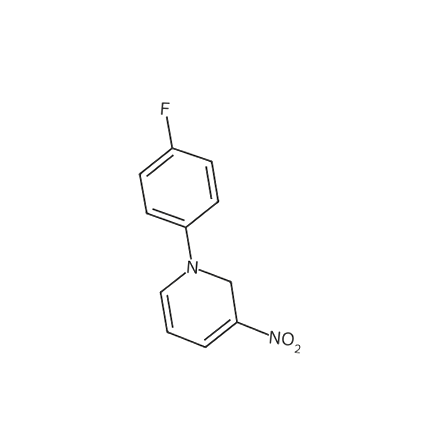 O=[N+]([O-])C1=CC=CN(c2ccc(F)cc2)C1